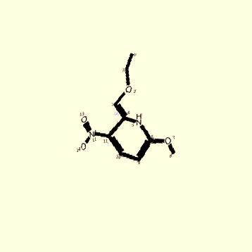 CCO/C=C1\NC(OC)=CC=C1[N+](=O)[O-]